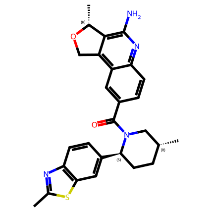 Cc1nc2ccc([C@@H]3CC[C@@H](C)CN3C(=O)c3ccc4nc(N)c5c(c4c3)CO[C@@H]5C)cc2s1